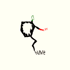 CNCCc1cccc(Cl)c1O